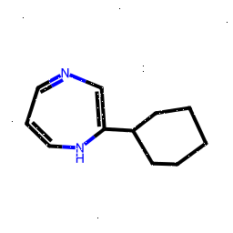 C1=CNC(C2CCCCC2)=CN=C1